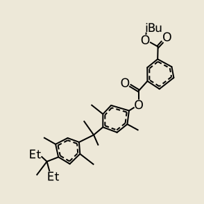 CCC(C)OC(=O)c1cccc(C(=O)Oc2cc(C)c(C(C)(C)c3cc(C)c(C(C)(CC)CC)cc3C)cc2C)c1